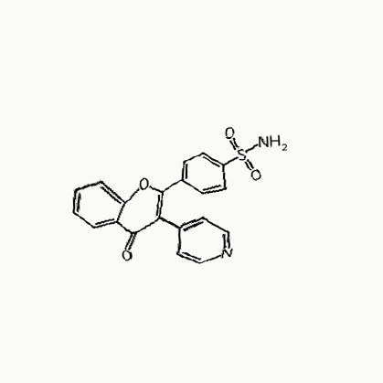 NS(=O)(=O)c1ccc(-c2oc3ccccc3c(=O)c2-c2ccncc2)cc1